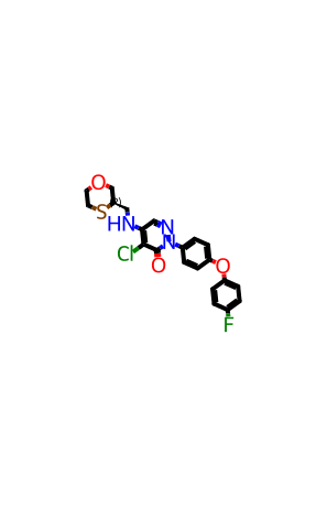 O=c1c(Cl)c(NC[C@@H]2COCCS2)cnn1-c1ccc(Oc2ccc(F)cc2)cc1